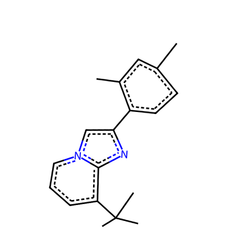 Cc1ccc(-c2cn3cccc(C(C)(C)C)c3n2)c(C)c1